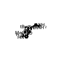 COC(=O)NC(CCC(=O)OC(C)(C)C)(Cc1cccc(C(=N)N)c1)C(=O)NCC(=O)NCc1ccc(C(=N)N)o1